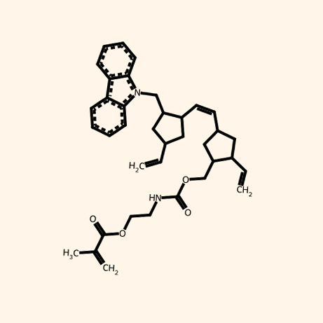 C=CC1CC(/C=C\C2CC(C=C)C(COC(=O)NCCOC(=O)C(=C)C)C2)C(Cn2c3ccccc3c3ccccc32)C1